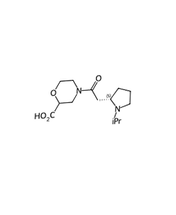 CC(C)N1CCC[C@H]1CC(=O)N1CCOC(C(=O)O)C1